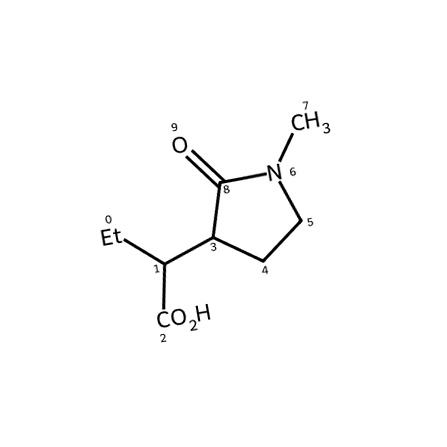 CCC(C(=O)O)C1CCN(C)C1=O